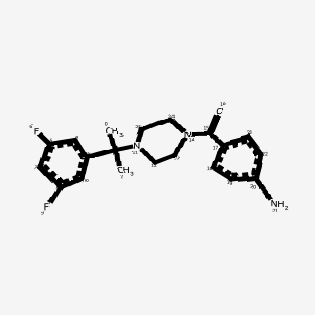 CC(C)(c1cc(F)cc(F)c1)N1CCN(C(=O)c2ccc(N)cc2)CC1